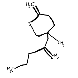 C=C1CCC(C)(C(=C)CCC)CS1